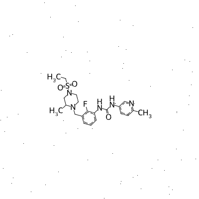 CCS(=O)(=O)N1CCN(Cc2cccc(NC(=O)Nc3ccc(C)nc3)c2F)C(C)C1